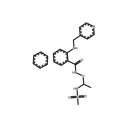 CC(NS(C)(=O)=O)ONC(=O)c1ccccc1NCc1ccncc1.c1ccccc1